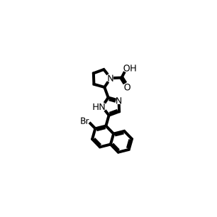 O=C(O)N1CCCC1c1ncc(-c2c(Br)ccc3ccccc23)[nH]1